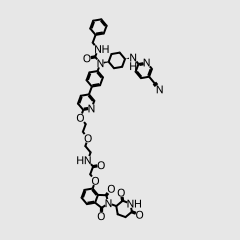 N#Cc1ccc(N[C@H]2CC[C@H](N(C(=O)NCc3ccccc3)c3ccc(-c4ccc(OCCOCCNC(=O)COc5cccc6c5C(=O)N(C5CCC(=O)NC5=O)C6=O)nc4)cc3)CC2)nc1